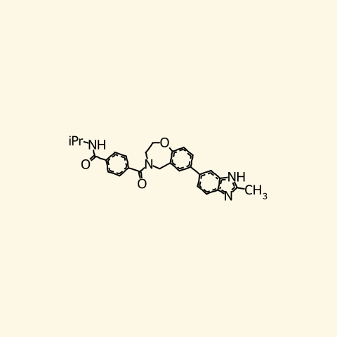 Cc1nc2ccc(-c3ccc4c(c3)CN(C(=O)c3ccc(C(=O)NC(C)C)cc3)CCO4)cc2[nH]1